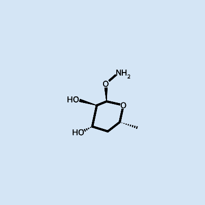 C[C@@H]1C[C@H](O)[C@@H](O)[C@@H](ON)O1